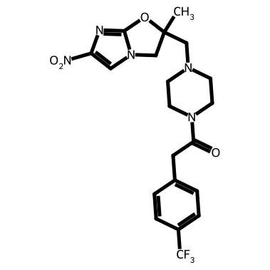 CC1(CN2CCN(C(=O)Cc3ccc(C(F)(F)F)cc3)CC2)Cn2cc([N+](=O)[O-])nc2O1